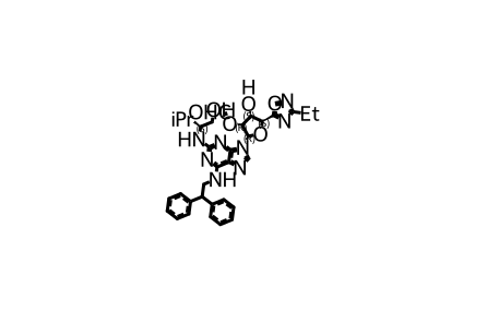 CCc1noc([C@H]2O[C@@H](n3cnc4c(NCC(c5ccccc5)c5ccccc5)nc(N[C@H](CO)C(C)C)nc43)[C@H](OC=O)[C@@H]2O)n1